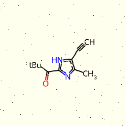 C#Cc1[nH]c(C(=O)C(C)(C)C)nc1C